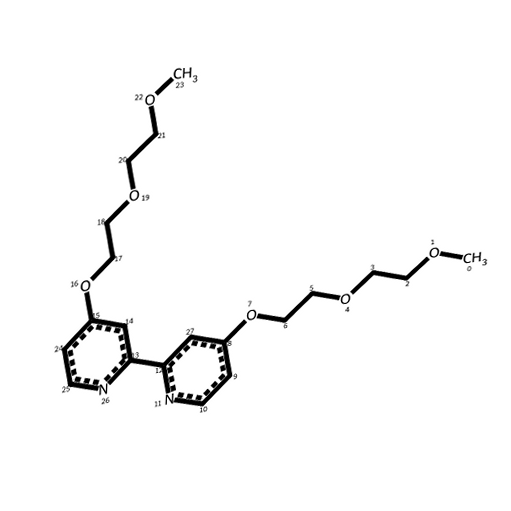 COCCOCCOc1ccnc(-c2cc(OCCOCCOC)ccn2)c1